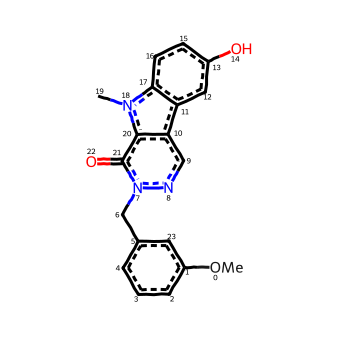 COc1cccc(Cn2ncc3c4cc(O)ccc4n(C)c3c2=O)c1